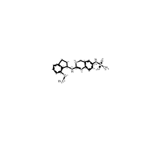 COc1cccc2c1C(NC1=Nc3ccc(NS(C)(=O)=O)cc3CO1)CC2